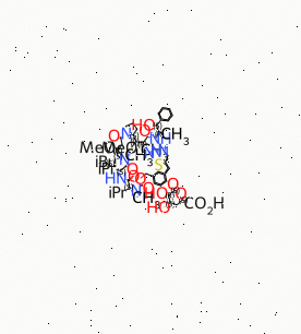 CC[C@H](C)[C@@H]([C@@H](CC(=O)N1CCC[C@H]1[C@H](OC)[C@@H](C)C(=O)N[C@H](C)[C@@H](O)c1ccccc1)OC)N(C)C(=O)[C@@H](NC(=O)[C@H](C(C)C)N(C)C(=O)OCc1ccc(O[C@@H]2O[C@H](C(=O)O)C[C@H](O)[C@H]2O)c2cc(CN=[N+]=[N-])sc12)C(C)C